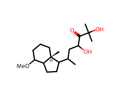 COC1CCC[C@]2(C)C(C(C)CC(O)C(=O)C(C)(C)O)CCC12